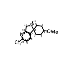 COC1CCC2(CC1)c1ccc(Cl)nc1CN2C